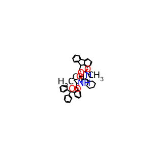 CC(C)[C@@H](NC(=O)[C@H](C1CCCCC1)N(C)C(=O)OCC1c2ccccc2-c2ccccc21)C(=O)OC(c1ccccc1)(c1ccccc1)c1ccccc1